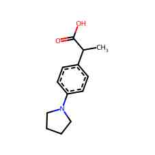 CC(C(=O)O)c1ccc(N2CCCC2)cc1